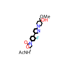 COCC1(O)CCN(c2ccc(-c3ccc(N4C[C@H](CNC(C)=O)OC4=O)cc3F)cn2)CC1